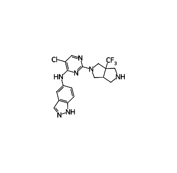 FC(F)(F)C12CNCC1CN(c1ncc(Cl)c(Nc3ccc4[nH]ncc4c3)n1)C2